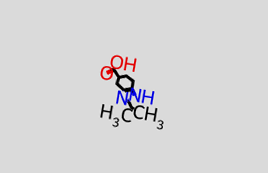 CC(C)c1nc2c([nH]1)CCC(C(=O)O)C2